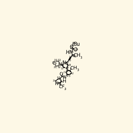 Cc1ccc(NC(=O)c2ccnc(C(F)(F)F)c2)cc1-c1cc(C#C[C@@H](C)NC(=O)OC(C)(C)C)nc(N2CCOCC2)c1